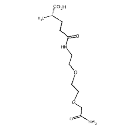 C[C@@H](CCC(=O)NCCOCCOCC(N)=O)C(=O)O